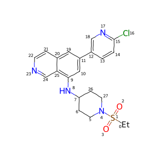 CCS(=O)(=O)N1CCC(Nc2cc(-c3ccc(Cl)nc3)cc3ccncc23)CC1